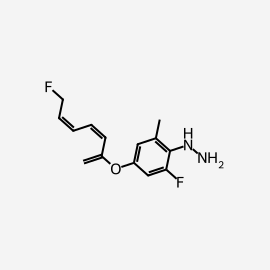 C=C(/C=C\C=C/CF)Oc1cc(C)c(NN)c(F)c1